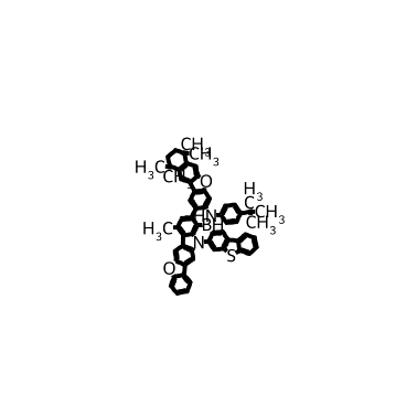 Cc1cc(-c2cc3c(cc2Nc2ccc(C(C)(C)C)cc2)oc2cc4c(cc23)C(C)(C)CCC4(C)C)c2c3c1c1cc4oc5ccccc5c4cc1n3-c1cc3sc4ccccc4c3cc1B2